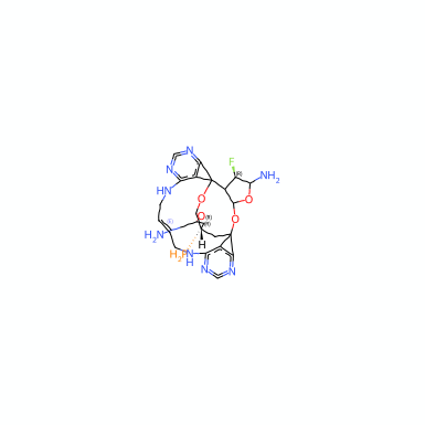 NC1OC2OC34C[C@@H]5C(OC(N)[C@@H]5P)OC5(c6ncnc(c65)NC/C=C/CNc5ncnc3c54)C2[C@H]1F